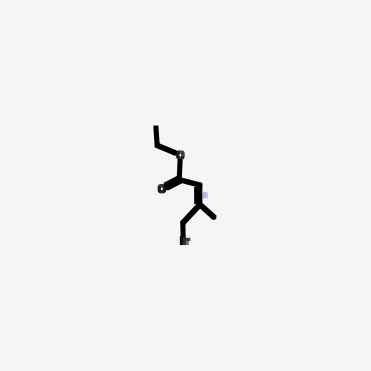 CCOC(=O)/C=C(/C)CBr